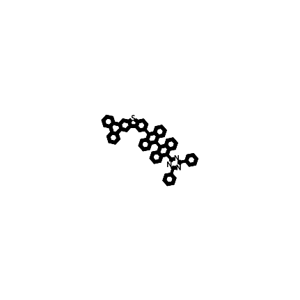 c1ccc(-c2nc(-c3ccccc3)nc(-c3c4ccccc4c(-c4c5ccccc5c(-c5ccc6sc7cc8c9ccccc9c9ccccc9c8cc7c6c5)c5ccccc45)c4ccccc34)n2)cc1